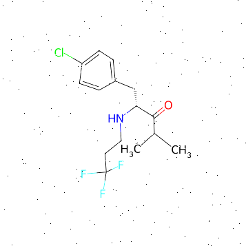 CC(C)C(=O)[C@@H](Cc1ccc(Cl)cc1)NCCC(F)(F)F